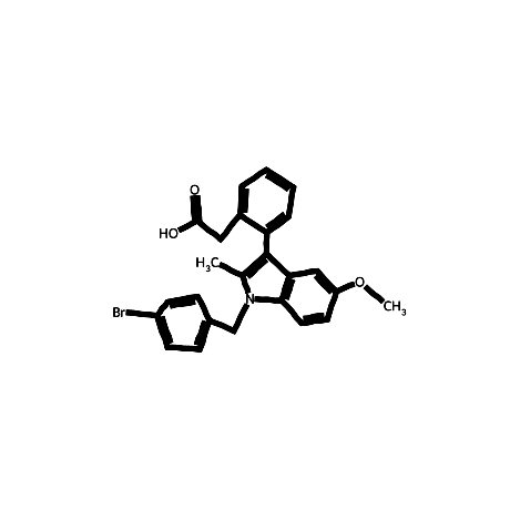 COc1ccc2c(c1)c(-c1ccccc1CC(=O)O)c(C)n2Cc1ccc(Br)cc1